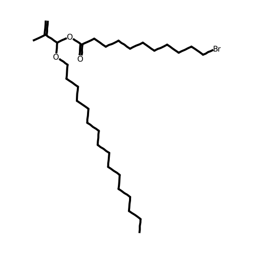 C=C(C)C(OCCCCCCCCCCCCCCCC)OC(=O)CCCCCCCCCCBr